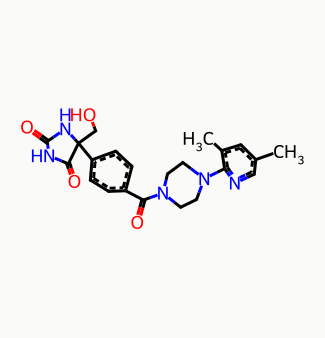 Cc1cnc(N2CCN(C(=O)c3ccc(C4(CO)NC(=O)NC4=O)cc3)CC2)c(C)c1